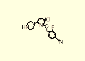 Cl.N#Cc1ccc(COc2cccc(N3CCNCC3)n2)c(F)c1